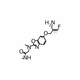 CNC(=O)CN(C)c1nc2ccc(OC/C(=C/F)CN)cc2o1